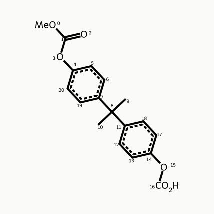 COC(=O)Oc1ccc(C(C)(C)c2ccc(OC(=O)O)cc2)cc1